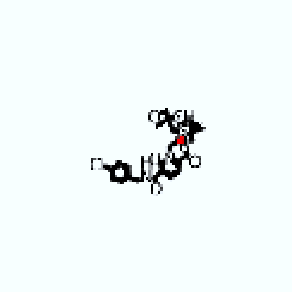 CC1(CS(=O)(=O)C2(CN3CCn4c(ccc(C(=O)NCc5ccc(Cl)cc5)c4=O)C3=O)CC2)COC1